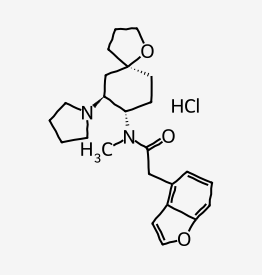 CN(C(=O)Cc1cccc2occc12)[C@H]1CC[C@@]2(CCCO2)C[C@@H]1N1CCCC1.Cl